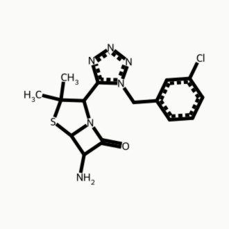 CC1(C)SC2C(N)C(=O)N2C1c1nnnn1Cc1cccc(Cl)c1